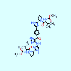 COC(=O)NC(C(=O)N1CCC[C@H]1c1nc(Nc2nc[nH]c2C(=O)c2ccc(-c3c[nH]c([C@@H]4CCCN4C(=O)[C@@H](NC(=O)OC)C(C)C)n3)cc2)c[nH]1)C(C)C